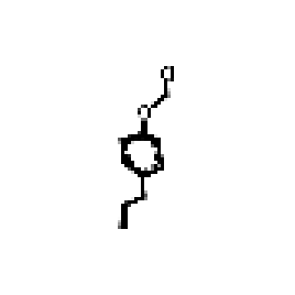 C=CCc1ccc(OCCl)cc1